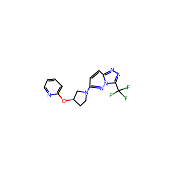 FC(F)(F)c1nnc2ccc(N3CC[C@@H](Oc4ccccn4)C3)nn12